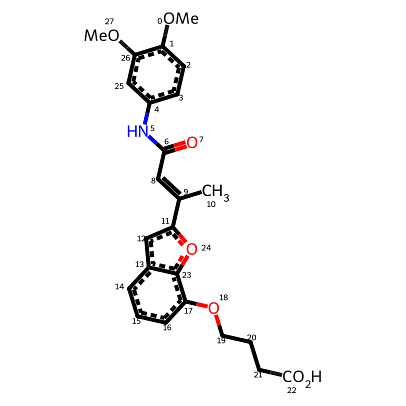 COc1ccc(NC(=O)C=C(C)c2cc3cccc(OCCCC(=O)O)c3o2)cc1OC